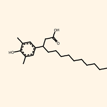 CCCCCCCCCCC(CC(=O)O)c1cc(C)c(O)c(C)c1